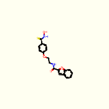 O=C(NCCOc1ccc(C(=S)NO)cc1)c1cc2ccccc2o1